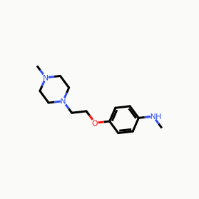 CNc1ccc(OCCN2CCN(C)CC2)cc1